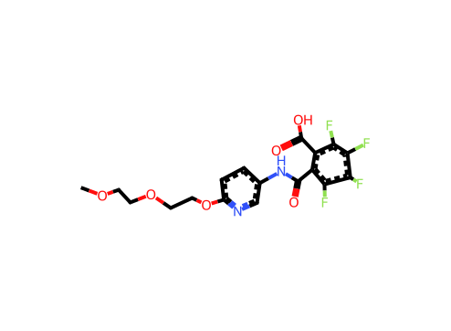 COCCOCCOc1ccc(NC(=O)c2c(F)c(F)c(F)c(F)c2C(=O)O)cn1